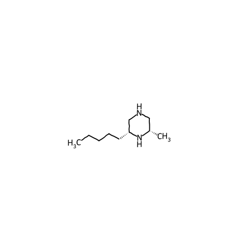 CCCCC[C@@H]1CNC[C@H](C)N1